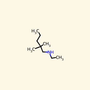 CCCC(C)(C)CNCC